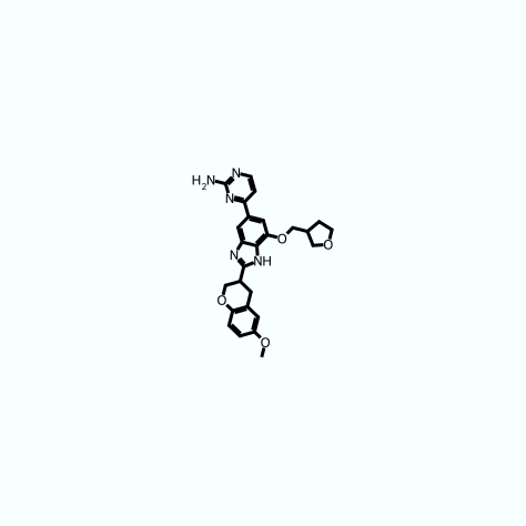 COc1ccc2c(c1)CC(c1nc3cc(-c4ccnc(N)n4)cc(OCC4CCOC4)c3[nH]1)CO2